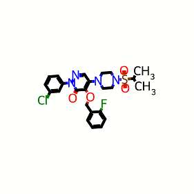 CC(C)S(=O)(=O)N1CCN(c2cnn(-c3cccc(Cl)c3)c(=O)c2OCc2ccccc2F)CC1